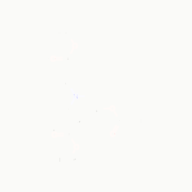 COC(=O)CCN(CCOC(C)=O)CCC(=O)OC